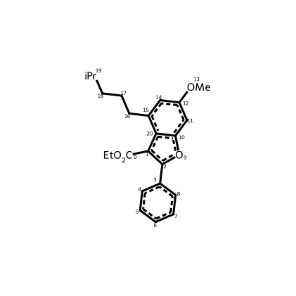 CCOC(=O)c1c(-c2ccccc2)oc2cc(OC)cc(CCCC(C)C)c12